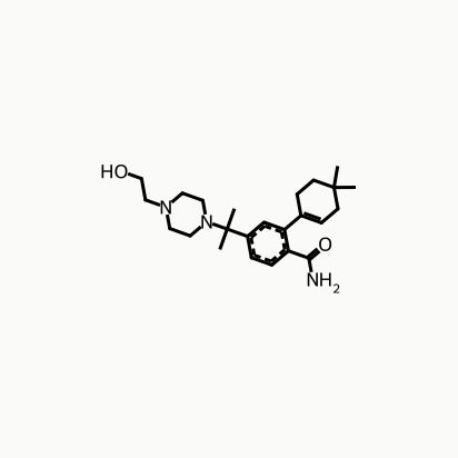 CC1(C)CC=C(c2cc(C(C)(C)N3CCN(CCO)CC3)ccc2C(N)=O)CC1